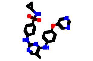 Cc1cnc(Nc2ccc(S(=O)(=O)NC3CC3)cc2)nc1Nc1ccc(Oc2cncnc2)cc1